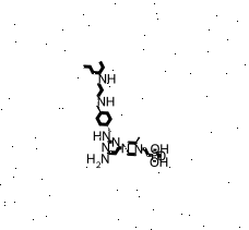 CCCC(CC)NCCCNC[C@H]1CC[C@H](CNc2nc(N)cc(N3CCN(CCP(=O)(O)O)[C@H](C)C3)n2)CC1